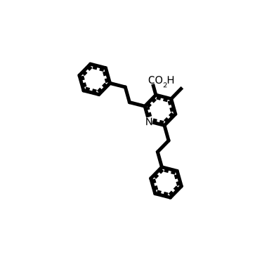 Cc1cc(CCc2ccccc2)nc(CCc2ccccc2)c1C(=O)O